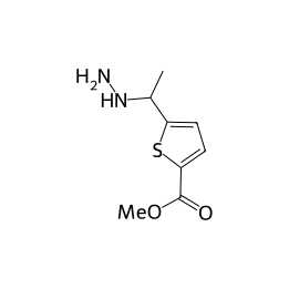 COC(=O)c1ccc(C(C)NN)s1